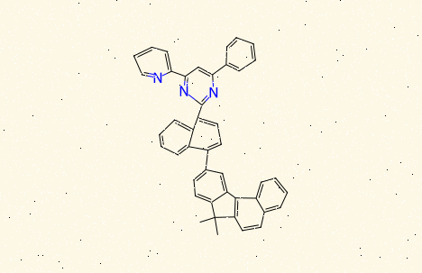 CC1(C)c2ccc(-c3ccc(-c4nc(-c5ccccc5)cc(-c5ccccn5)n4)c4ccccc34)cc2-c2c1ccc1ccccc21